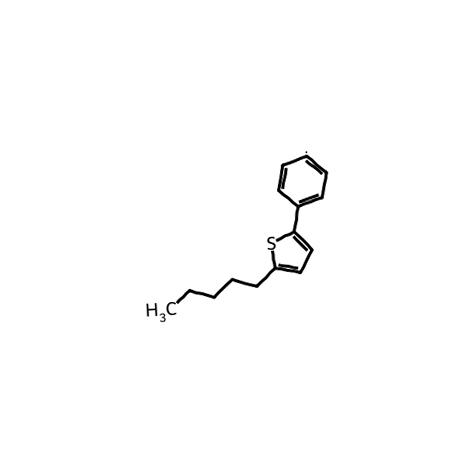 CCCCCc1ccc(-c2cc[c]cc2)s1